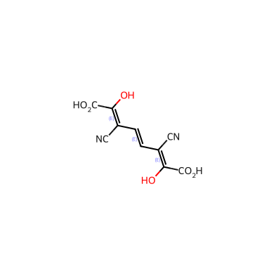 N#CC(/C=C/C(C#N)=C(\O)C(=O)O)=C(/O)C(=O)O